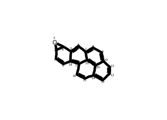 C1=CC2OC2c2cc3ccc4cccc5ccc(c21)c3c45